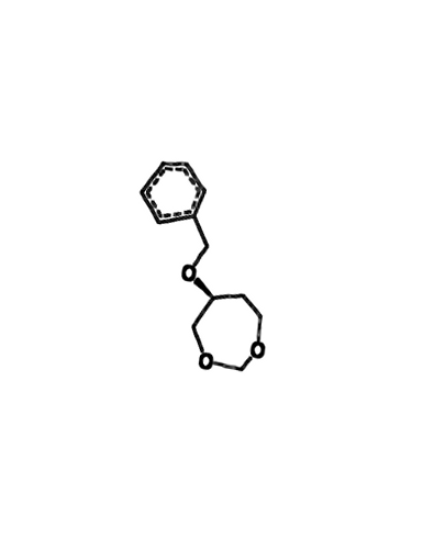 c1ccc(CO[C@H]2CCOCOC2)cc1